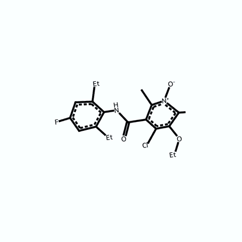 CCOc1c(Cl)c(C(=O)Nc2c(CC)cc(F)cc2CC)c(C)[n+]([O-])c1C